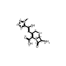 Cn1nnnc1C(S)=CC1=C(C(=O)O)N2C(=O)C(N)C2SC1